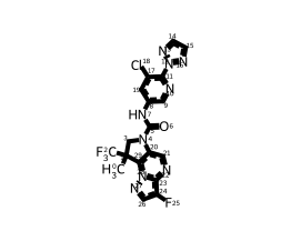 CC1(C(F)(F)F)CN(C(=O)Nc2cnc(-n3nccn3)c(Cl)c2)c2cnc3c(F)cnn3c21